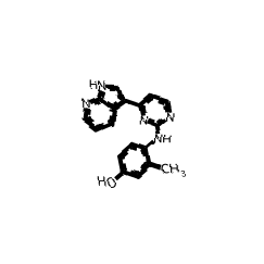 Cc1cc(O)ccc1Nc1nccc(-c2c[nH]c3ncccc23)n1